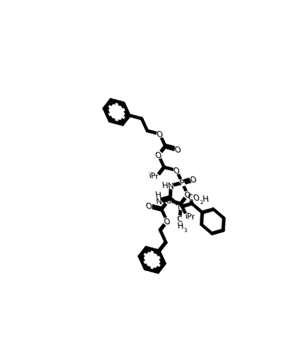 CC(C)C(OC(=O)OCCc1ccccc1)OP(=O)(NC(=N)N(C)C(C(=O)O)C1CCCCC1)OC(OC(=O)OCCc1ccccc1)C(C)C